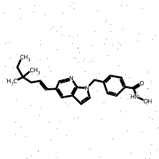 CCC(C)(C)C/C=C/c1cnc2c(ccn2Cc2ccc(C(=O)NO)cc2)c1